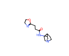 O=C(CCC1=NCCO1)NC1CN2CCC1CC2